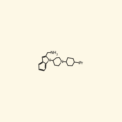 CC(C)C1CCC(N2CCC(n3c(CN)cc4ccccc43)CC2)CC1